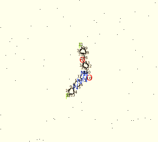 O=c1nc(N2CCN(c3ccc(F)cc3)CC2)cnn1Cc1ccc(OCc2ccc(F)cc2)cc1